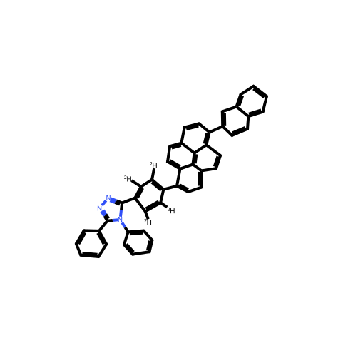 [2H]c1c([2H])c(-c2nnc(-c3ccccc3)n2-c2ccccc2)c([2H])c([2H])c1-c1ccc2ccc3c(-c4ccc5ccccc5c4)ccc4ccc1c2c43